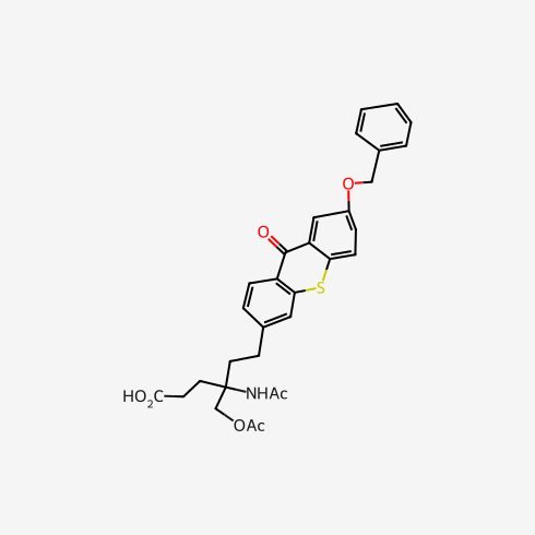 CC(=O)NC(CCC(=O)O)(CCc1ccc2c(=O)c3cc(OCc4ccccc4)ccc3sc2c1)COC(C)=O